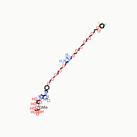 COCC(CO)(OC[C@H]1O[C@@H](n2ncc3c(N4CC5(CCC(OCCOCCOCCOCCOC/C(N)=C/N(N)CCOCCOCCOCCOCCOCCOCCC(=O)Oc6c(F)cc(F)cc6F)CC5)C4)nc(Cl)nc32)[C@H](O)[C@@H]1O)P(=O)(O)O